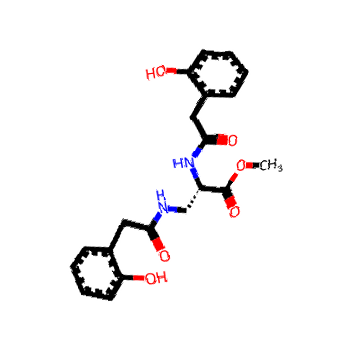 COC(=O)[C@H](CNC(=O)Cc1ccccc1O)NC(=O)Cc1ccccc1O